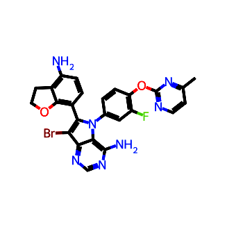 Cc1ccnc(Oc2ccc(-n3c(-c4ccc(N)c5c4OCC5)c(Br)c4ncnc(N)c43)cc2F)n1